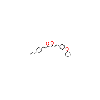 C=CCc1ccc(C=CC(=O)CC(=O)C=Cc2ccc(OC3CCCCC3)cc2)cc1